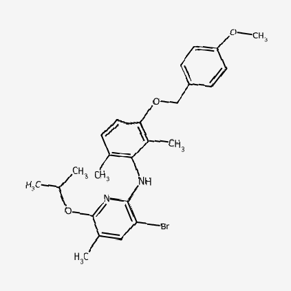 COc1ccc(COc2ccc(C)c(Nc3nc(OC(C)C)c(C)cc3Br)c2C)cc1